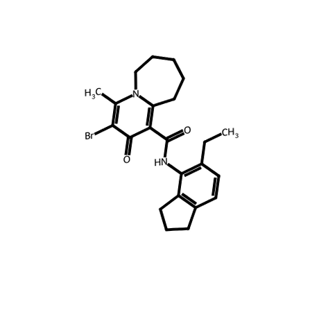 CCc1ccc2c(c1NC(=O)c1c3n(c(C)c(Br)c1=O)CCCCC3)CCC2